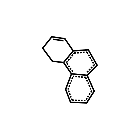 [c]1cccc2c3c(ccc12)C=CCC3